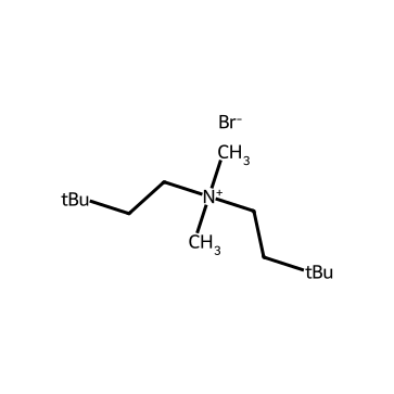 CC(C)(C)CC[N+](C)(C)CCC(C)(C)C.[Br-]